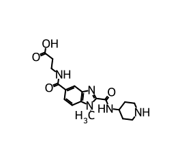 Cn1c(C(=O)NC2CCNCC2)nc2cc(C(=O)NCCC(=O)O)ccc21